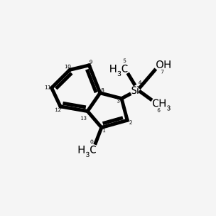 CC1=CC([Si](C)(C)O)c2ccccc21